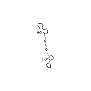 Oc1c(CCOCCCOCCc2cccc(-c3ccccc3)c2O)cccc1-c1ccccc1